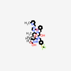 CC[C@H](C)[C@@H](C(=O)N[C@@H](Cc1ccccc1)[C@@H](O)CN(Cc1ccc(SC(F)(F)F)cc1)NC(=O)[C@@H](NC(=O)O)C(C)(C)C)N1CCN(Cc2cccc(C)n2)C1=O